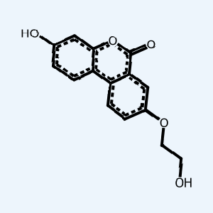 O=c1oc2cc(O)ccc2c2ccc(OCCO)cc12